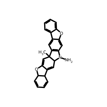 CC12C=C3OC4C=CC=CC4C3=CC1N(N)c1cc3oc4ccccc4c3cc12